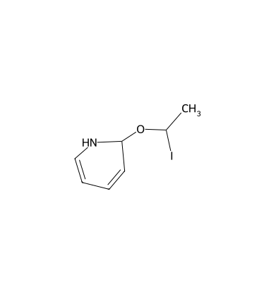 CC(I)OC1C=CC=CN1